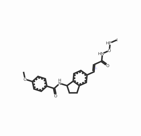 COc1ccc(C(=O)NC2CCc3cc(/C=C/C(=O)NOPI)ccc32)cc1